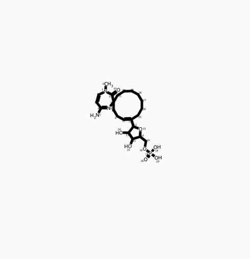 CN1C=CC(N)=NC2(CC/C=C(/C3OC(COP(=O)(O)O)C(O)C3O)CCCCCCC2)C1=O